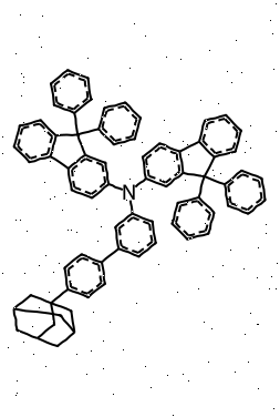 c1ccc(C2(c3ccccc3)c3ccccc3-c3ccc(N(c4cccc(-c5ccc(C67CC8CC(CC(C8)C6)C7)cc5)c4)c4ccc5c(c4)C(c4ccccc4)(c4ccccc4)c4ccccc4-5)cc32)cc1